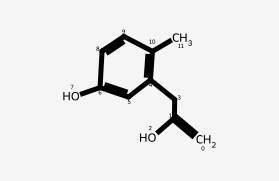 C=C(O)Cc1cc(O)ccc1C